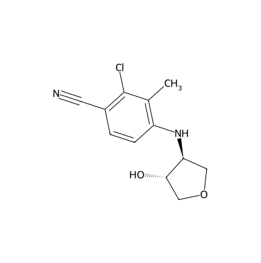 Cc1c(N[C@H]2COC[C@@H]2O)ccc(C#N)c1Cl